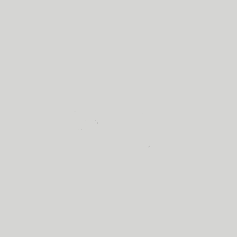 CC(=O)OC1Cc2ccc(O)cc2Cc2cc(CNC(=O)C(F)(F)F)ccc21